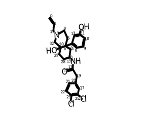 C=CCN1CCC2(c3cccc(O)c3)C[C@H](NC(=O)Cc3ccc(Cl)c(Cl)c3)CCC2(O)C1